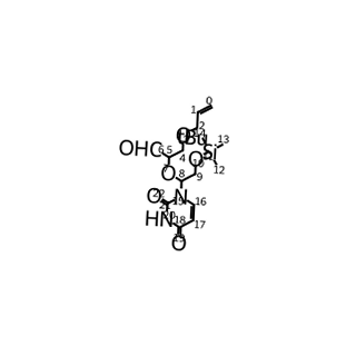 C=CCOCC(C=O)OC(CO[Si](C)(C)C(C)(C)C)n1ccc(=O)[nH]c1=O